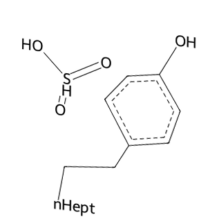 CCCCCCCCCc1ccc(O)cc1.O=[SH](=O)O